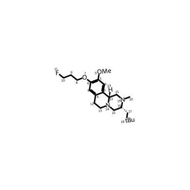 COc1cc2c(cc1OCCCF)CCN1C[C@@H](CC(C)(C)C)N(C)C[C@@H]21